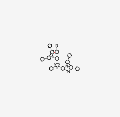 N#Cc1ccc(-c2ccc(-c3nc(-c4ccccc4)nc(-c4ccc(C#N)c(-n5c6ccc(-c7ccccc7)cc6c6cc(-c7ccccc7)ccc65)c4)n3)cc2-n2c3ccc(-c4ccccc4)cc3c3cc(-c4ccccc4)ccc32)cc1